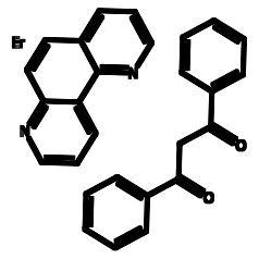 O=C(CC(=O)c1ccccc1)c1ccccc1.[Er].c1cnc2c(c1)ccc1ncccc12